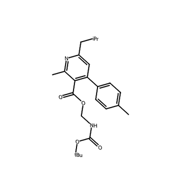 Cc1ccc(-c2cc(CC(C)C)nc(C)c2C(=O)OCNC(=O)OC(C)(C)C)cc1